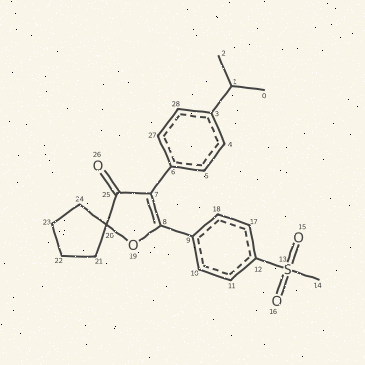 CC(C)c1ccc(C2=C(c3ccc(S(C)(=O)=O)cc3)OC3(CCCC3)C2=O)cc1